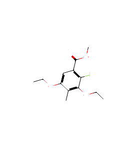 CCOc1cc(C(=O)OC)c(F)c(OCC)c1C